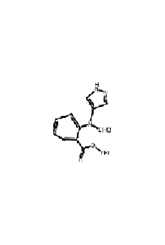 CCCOC(=O)c1ccccc1N(C=O)c1cn[nH]c1